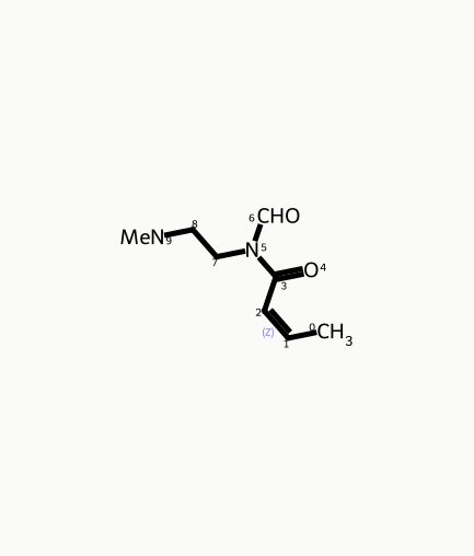 C/C=C\C(=O)N(C=O)CCNC